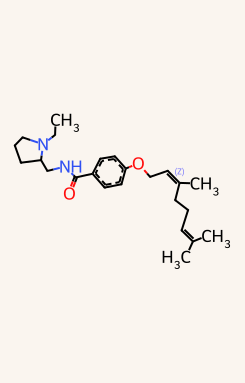 CCN1CCCC1CNC(=O)c1ccc(OC/C=C(/C)CCC=C(C)C)cc1